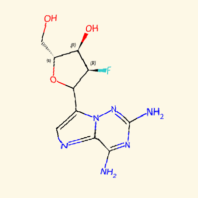 Nc1nc(N)c2ncc(C3O[C@H](CO)[C@@H](O)[C@H]3F)n2n1